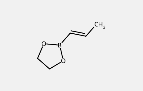 CC=CB1OCCO1